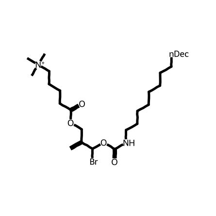 C=C(COC(=O)CCCC[N+](C)(C)C)C(Br)OC(=O)NCCCCCCCCCCCCCCCCCC